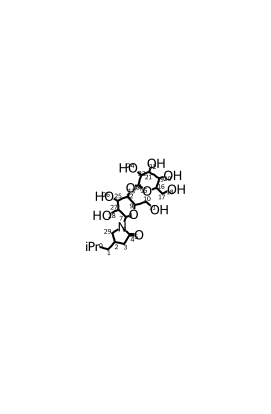 CC(C)CC1CC(=O)N(C2OC(CO)C(O[C@@H]3OC(CO)C(O)C(O)C3O)C(O)C2O)C1